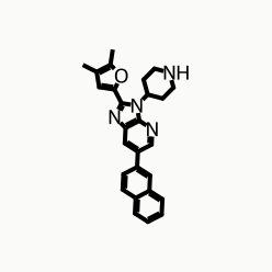 Cc1cc(-c2nc3cc(-c4ccc5ccccc5c4)cnc3n2C2CCNCC2)oc1C